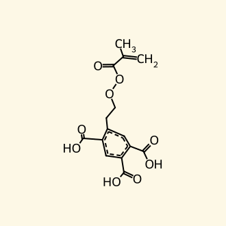 C=C(C)C(=O)OOCCc1cc(C(=O)O)c(C(=O)O)cc1C(=O)O